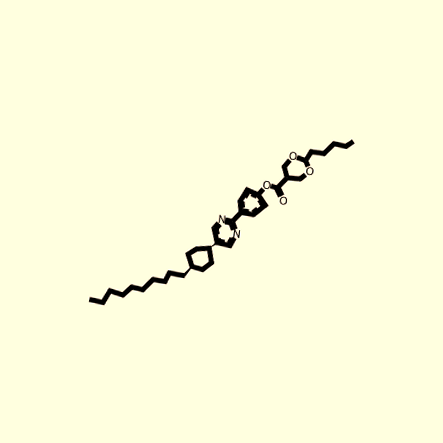 CCCCCCCCCC[C@H]1CC[C@H](c2cnc(-c3ccc(OC(=O)C4COC(CCCCC)OC4)cc3)nc2)CC1